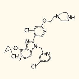 CC1(Oc2cccc3c2nc(-c2ccc(OCCN4CCNCC4)cc2Cl)n3Cc2cc(Cl)ccn2)CC1